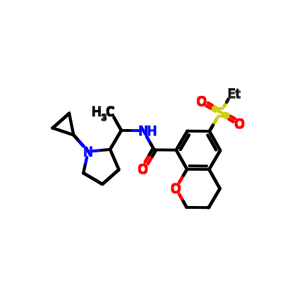 CCS(=O)(=O)c1cc2c(c(C(=O)NC(C)C3CCCN3C3CC3)c1)OCCC2